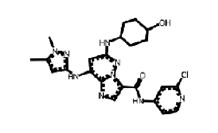 Cc1cc(Nc2cc(NC3CCC(O)CC3)nn3c(C(=O)Nc4ccnc(Cl)c4)cnc23)nn1C